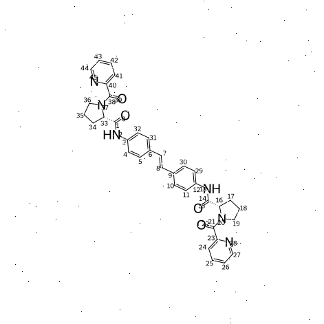 O=C(Nc1ccc(/C=C/c2ccc(NC(=O)[C@@H]3CCCN3C(=O)c3ccccn3)cc2)cc1)[C@@H]1CCCN1C(=O)c1ccccn1